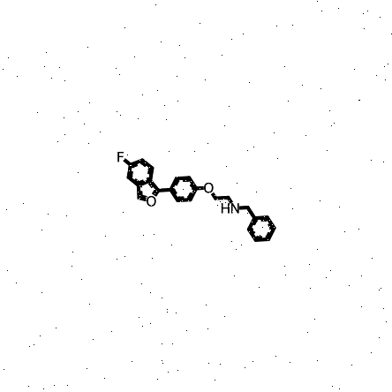 Fc1ccc2c(-c3ccc(OCCNCc4ccccc4)cc3)occ2c1